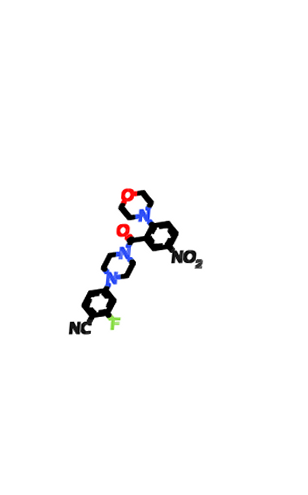 N#Cc1ccc(N2CCN(C(=O)c3cc([N+](=O)[O-])ccc3N3CCOCC3)CC2)cc1F